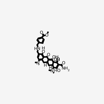 COC(=O)c1ccc(CNCc2cc(N(C)C)c3c(c2O)C(=O)C2=C(O)[C@]4(O)C(=O)C(C(N)=O)=C(O)C(N(C)C)[C@@H]4C[C@@H]2C3)cc1